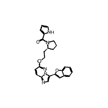 O=C(c1ccc[nH]1)N1CCC[C@H]1CCOc1ccc2ncc(-c3cc4ccccc4o3)n2n1